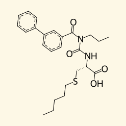 CCCCCSC[C@H](NC(=O)N(CCC)C(=O)c1cccc(-c2ccccc2)c1)C(=O)O